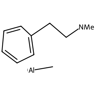 CNCCc1ccccc1.[CH3][Al]